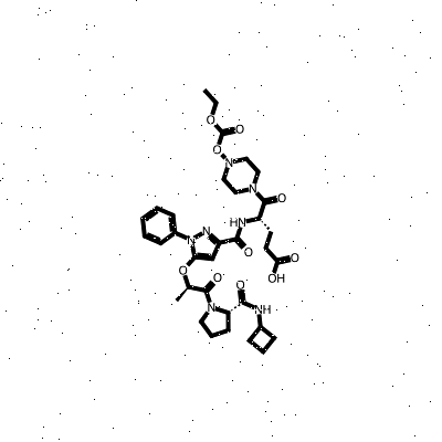 CCOC(=O)ON1CCN(C(=O)[C@H](CCC(=O)O)NC(=O)c2cc(O[C@H](C)C(=O)N3CCC[C@H]3C(=O)NC3CCC3)n(-c3ccccc3)n2)CC1